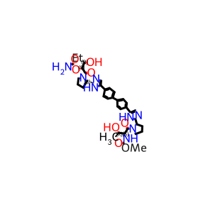 CC[C@@H](O)[C@H](OC(N)=O)C(=O)N1CCC[C@H]1c1ncc(-c2ccc(-c3ccc(-c4cnc(C5CCCN5C(=O)[C@@H](NC(=O)OC)[C@@H](C)O)[nH]4)cc3)cc2)[nH]1